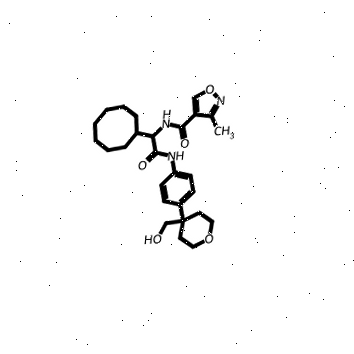 Cc1nocc1C(=O)NC(C(=O)Nc1ccc(C2(CO)CCOCC2)cc1)C1CCCCCCC1